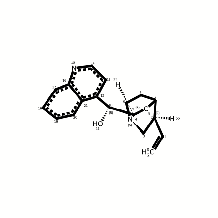 C=C[C@H]1C[N@@]2CCC1C[C@@H]2[C@H](O)c1ccnc2ccccc12